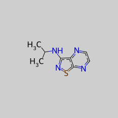 CC(C)Nc1nsc2nccnc12